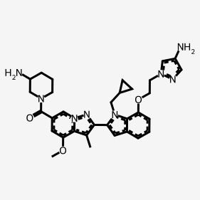 COc1cc(C(=O)N2CCCC(N)C2)cn2nc(-c3cc4cccc(OCCn5cc(N)cn5)c4n3CC3CC3)c(C)c12